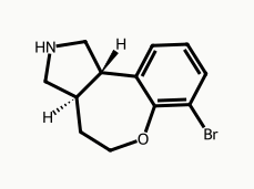 Brc1cccc2c1OCC[C@H]1CNC[C@H]21